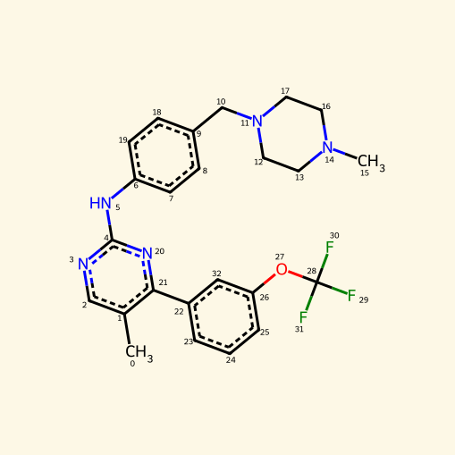 Cc1cnc(Nc2ccc(CN3CCN(C)CC3)cc2)nc1-c1cccc(OC(F)(F)F)c1